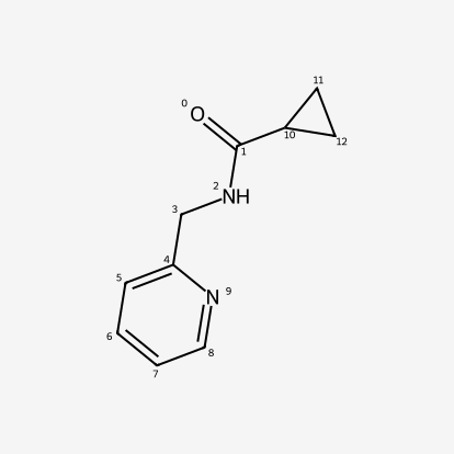 O=C(NCc1ccccn1)C1CC1